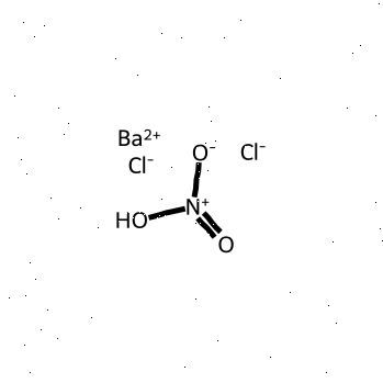 O=[N+]([O-])O.[Ba+2].[Cl-].[Cl-]